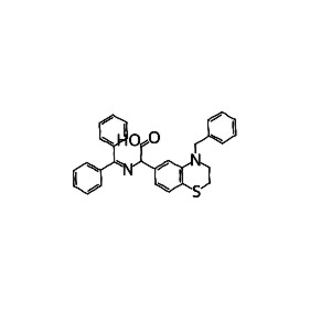 O=C(O)C(N=C(c1ccccc1)c1ccccc1)c1ccc2c(c1)N(Cc1ccccc1)CCS2